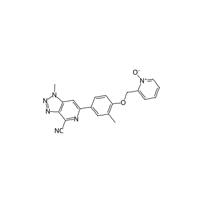 Cc1cc(-c2cc3c(nnn3C)c(C#N)n2)ccc1OCc1cccc[n+]1[O-]